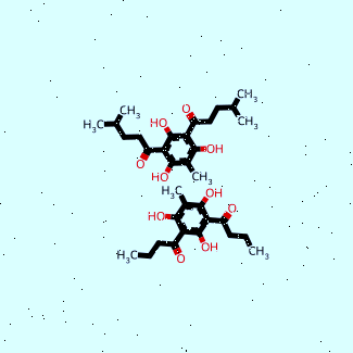 CCCC(=O)c1c(O)c(C)c(O)c(C(=O)CCC)c1O.Cc1c(O)c(C(=O)CCC(C)C)c(O)c(C(=O)CCC(C)C)c1O